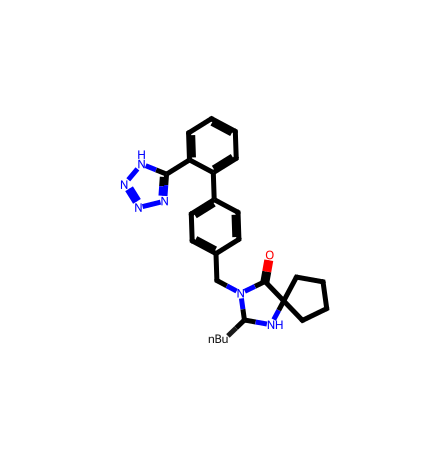 CCCCC1NC2(CCCC2)C(=O)N1Cc1ccc(-c2ccccc2-c2nnn[nH]2)cc1